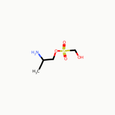 CC(N)COS(=O)(=O)CO